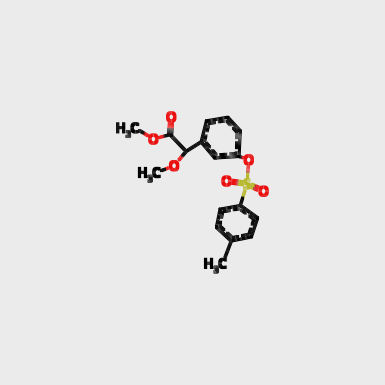 COC(=O)C(OC)c1cccc(OS(=O)(=O)c2ccc(C)cc2)c1